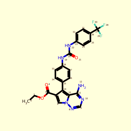 CCOC(=O)c1cn2ncnc(N)c2c1-c1ccc(NC(=O)Nc2ccc(C(F)(F)F)cc2)cc1